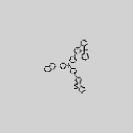 CC1(c2ccccc2)c2ccccc2-c2ccc(-c3ccc(N(c4ccc(-c5ccc6ccccc6c5)cc4)c4ccc(-c5ccc6c(c5)sc5ccccc56)cc4)cc3)cc21